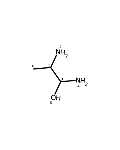 CC(N)C(N)O